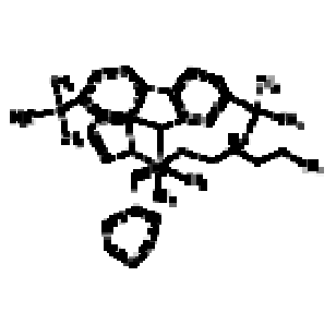 CCCCC[CH2][Hf]([CH3])([CH3])(=[CH]c1ccccc1)([CH]1C=CC=C1)[CH]1c2cc(C(C)(C)C)ccc2-c2ccc(C(C)(C)C)cc21